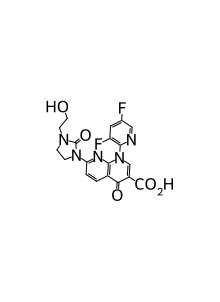 O=C(O)c1cn(-c2ncc(F)cc2F)c2nc(N3CCN(CCO)C3=O)ccc2c1=O